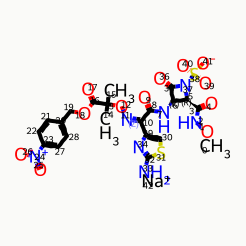 CONC(=O)[C@H]1[C@@H](NC(=O)/C(=N\OC(C)(C)C(=O)OCc2ccc([N+](=O)[O-])cc2)c2csc(N)n2)C(=O)N1S(=O)(=O)[O-].[Na+]